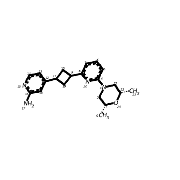 C[C@@H]1CN(c2cccc(C3CC(c4ccnc(N)c4)C3)n2)C[C@H](C)O1